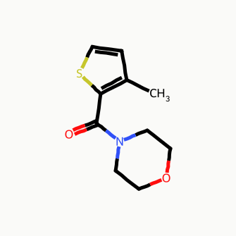 Cc1ccsc1C(=O)N1CCOCC1